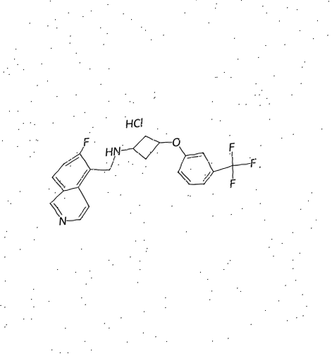 Cl.Fc1ccc2cnccc2c1CNC1CC(Oc2cccc(C(F)(F)F)c2)C1